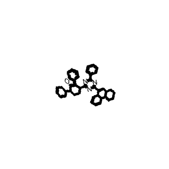 C1=CCC(C2CCC(c3nc(C4=CC5=C(CCCC5)C5C=CC=CC45)nc(-c4ccccc4)n3)c3c2oc2ccccc32)C=C1